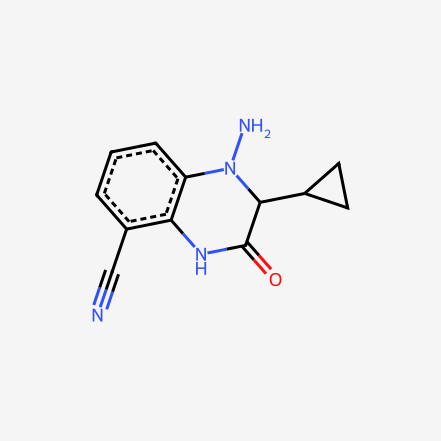 N#Cc1cccc2c1NC(=O)C(C1CC1)N2N